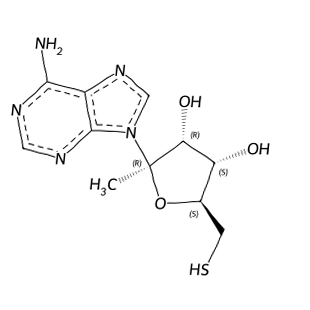 C[C@@]1(n2cnc3c(N)ncnc32)O[C@H](CS)[C@@H](O)[C@H]1O